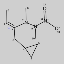 C/C=C(/CC1CC1)N(C)N(C)[N+](=O)[O-]